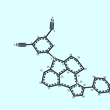 N#Cc1cc(C#N)cc(-n2c3cccc4c3c3c2cccc3n2c(-c3ccccc3)ccc42)c1